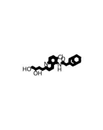 O=C(CC1CC2CCCC(C2)C1)Nc1c(Cl)ccc2nc(CC[C@@H](O)CO)ccc12